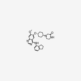 COc1cc2ncnc(Nc3cccc4c3CCC4)c2cc1O[C@H]1CC[C@H](N2CCNC(=O)C2)CC1